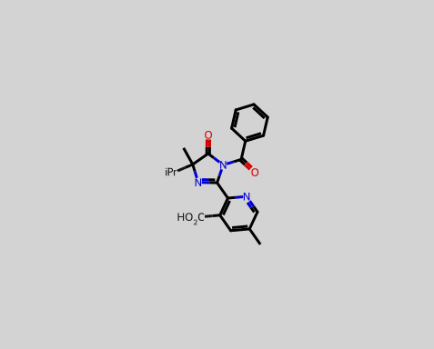 Cc1cnc(C2=NC(C)(C(C)C)C(=O)N2C(=O)c2ccccc2)c(C(=O)O)c1